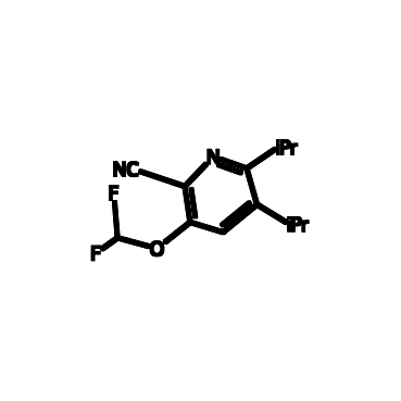 CC(C)c1cc(OC(F)F)c(C#N)nc1C(C)C